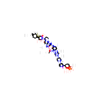 C=CC(=O)Nc1cc(Nc2nc(N3CCCC(N4CCc5c(sc6c5CCC(C)(C)C6)C4=O)C3C(C)O)cn(C)c2=O)ccc1N1CCN(C2CCN(c3ccnc(C4CCC(C)(OP(=O)(O)O)CC4)c3)[C@H](C)C2)C[C@@H]1C